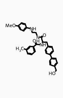 COc1ccc(NCCNC(=O)C(Cc2ccc(-c3ccc(CO)cc3)cc2)NC(=O)c2cccc(C)c2)cc1